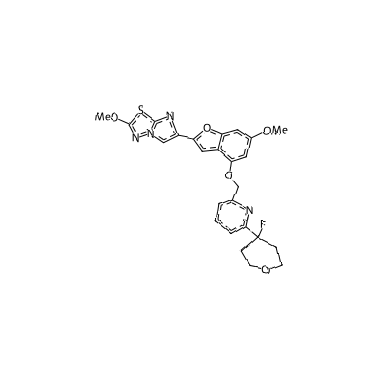 COc1cc(OCc2cccc(C3(F)CCOCC3)n2)c2cc(-c3cn4nc(OC)sc4n3)oc2c1